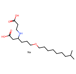 CC(C)CCCCCCCOCCCC(CC(=O)O)NCCC(=O)O.[Na]